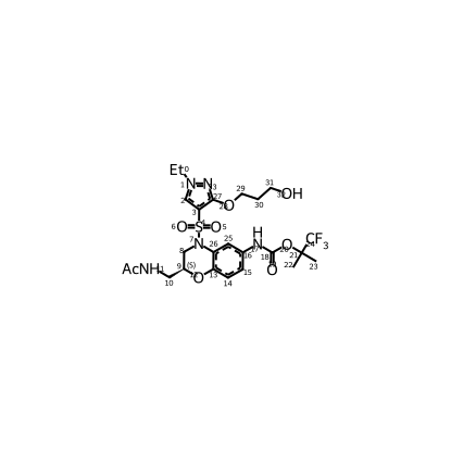 CCn1cc(S(=O)(=O)N2C[C@H](CNC(C)=O)Oc3ccc(NC(=O)OC(C)(C)C(F)(F)F)cc32)c(OCCCO)n1